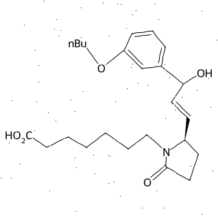 CCCCOc1cccc(C(O)C=C[C@H]2CCC(=O)N2CCCCCCC(=O)O)c1